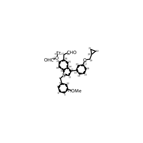 CCOC=O.COc1cccc(Cn2cc(-c3cccc(OCC4CC4)c3)c3cc(CC=O)ccc32)c1